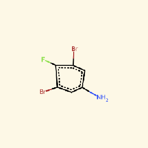 Nc1cc(Br)c(F)c(Br)c1